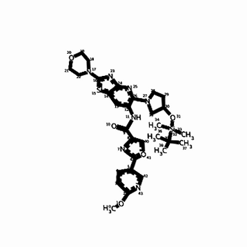 COc1ccc(-c2nc(C(=O)Nc3cc4sc(N5CCOCC5)nc4nc3N3CCC(O[Si](C)(C)C(C)(C)C)C3)co2)cn1